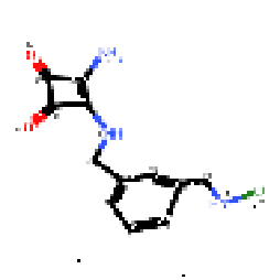 Nc1c(NCc2cccc(CNCl)c2)c(=O)c1=O